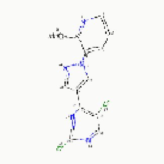 COc1ncccc1-n1cc(-c2nc(Cl)ncc2Cl)cn1